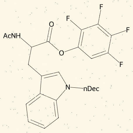 CCCCCCCCCCn1cc(CC(NC(C)=O)C(=O)Oc2cc(F)c(F)c(F)c2F)c2ccccc21